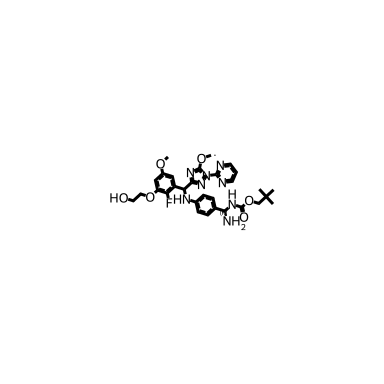 [CH2]Oc1nc(C(Nc2ccc([C@H](N)NC(=O)OCC(C)(C)C)cc2)c2cc(OC)cc(OCCO)c2F)nn1-c1ncccn1